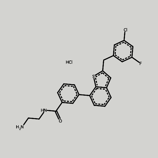 Cl.NCCNC(=O)c1cccc(-c2cccc3cc(Cc4cc(F)cc(Cl)c4)sc23)c1